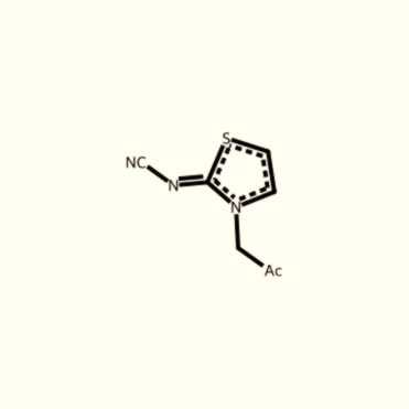 CC(=O)Cn1ccsc1=NC#N